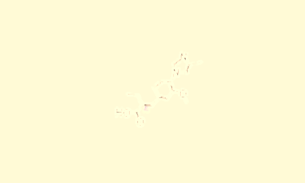 CC/C(=C\c1ccc(-n2cnc(C)c2)c(OC)c1)C(=O)O